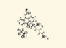 CCNCc1c2ccccc2c(Cl)c2c(C(=O)[C@@H](N)CCCCN)cccc12.O=C(O)C(F)(F)F